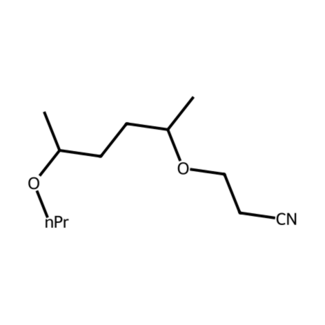 CCCOC(C)CCC(C)OCCC#N